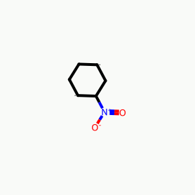 O=[N+]([O-])C1[CH]CC[CH]C1